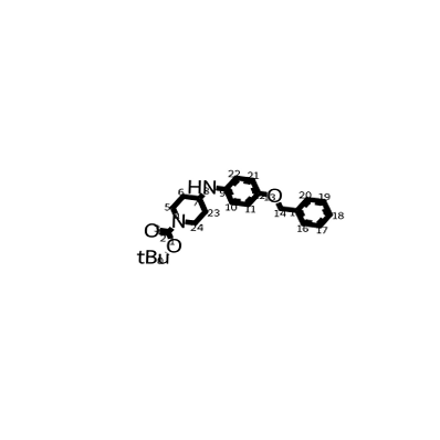 CC(C)(C)OC(=O)N1CCC(Nc2ccc(OCc3ccccc3)cc2)CC1